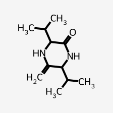 C=C1NC(C(C)C)C(=O)NC1C(C)C